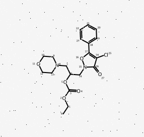 CCOC(=O)OC(CN1CCOCC1)Cn1oc(-c2ccccc2)c(Cl)c1=O